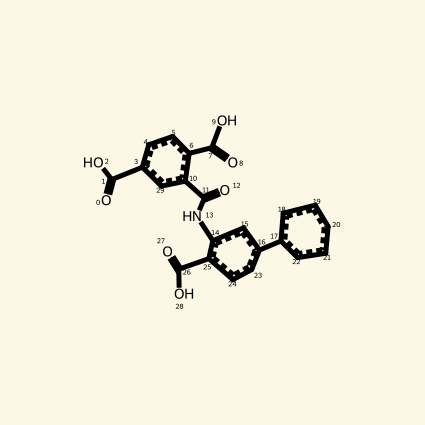 O=C(O)c1ccc(C(=O)O)c(C(=O)Nc2cc(-c3ccccc3)ccc2C(=O)O)c1